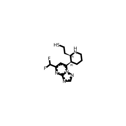 FC(F)c1cc([C@@H]2CCCN[C@@H]2CCS)n2ncnc2n1